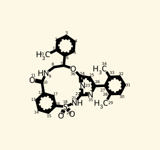 Cc1ccccc1C1CNC(=O)c2cccc(c2)S(=O)(=O)Nc2nc(cc(-c3c(C)cccc3C)n2)O1